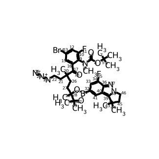 CN(C(=O)OC(C)(C)C)c1c(F)cc(Br)cc1C(=O)C(C)(CCN=[N+]=[N-])CCC1(C)OB(c2cc(F)c3nn4c(c3c2)C(C)(C)CC4)OC1(C)C